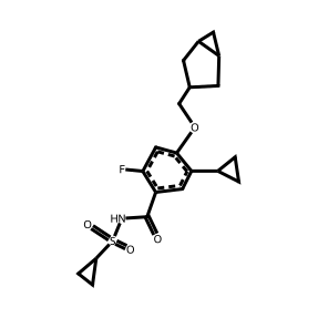 O=C(NS(=O)(=O)C1CC1)c1cc(C2CC2)c(OCC2CC3CC3C2)cc1F